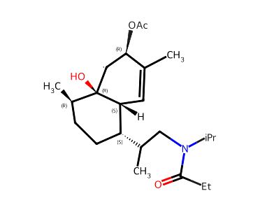 CCC(=O)N(CC(C)[C@@H]1CC[C@@H](C)[C@]2(O)[CH][C@@H](OC(C)=O)C(C)=C[C@H]12)C(C)C